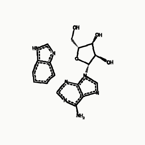 Nc1ncnc2c1ncn2[C@@H]1O[C@H](CO)[C@@H](O)[C@H]1O.c1ccc2[nH]cnc2c1